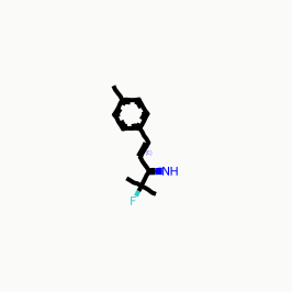 Cc1ccc(/C=C/C(=N)C(C)(C)F)cc1